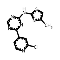 Cc1csc(Nc2ncnc(-c3ccnc(Cl)c3)n2)n1